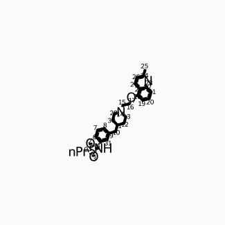 CCCS(=O)(=O)Nc1cccc(CC2CCN(CCOc3cccc4nc(C)ccc34)CC2)c1